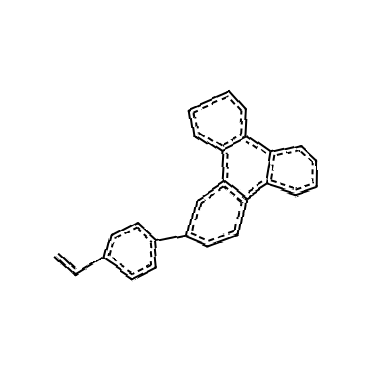 C=Cc1ccc(-c2ccc3c4ccccc4c4ccccc4c3c2)cc1